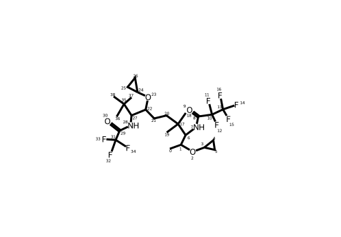 CC(OC1CC1)C(NC(=O)C(F)(F)C(F)(F)F)C(C)(C)CCC(OC1CC1)C(NC(=O)C(F)(F)F)C(C)(C)C